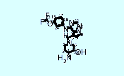 N[C@@H]1CCN(Cc2ccn3ncnc(Nc4cccc(OC(F)F)c4)c23)C[C@H]1O